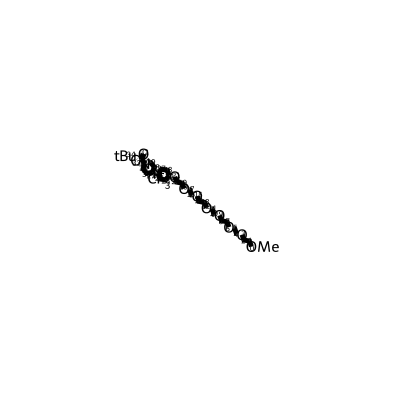 COCCOCCOCCOCCOCCOCCOCCOC1CCN(C2(C(F)(F)F)CCN(C(=O)OC(C)(C)C)CC2)CC1